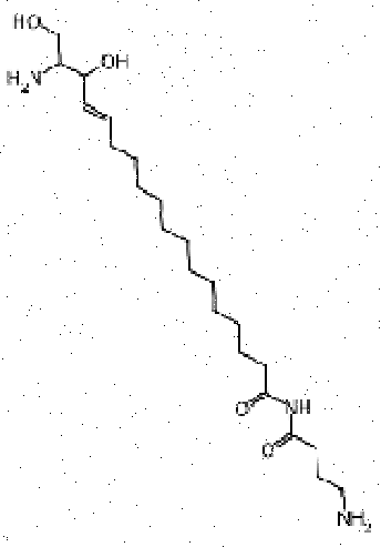 NCCCC(=O)NC(=O)CCCCCCCCCCCCC=CC(O)C(N)CO